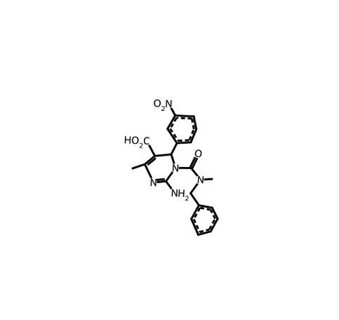 CC1=C(C(=O)O)C(c2cccc([N+](=O)[O-])c2)N(C(=O)N(C)Cc2ccccc2)C(N)=N1